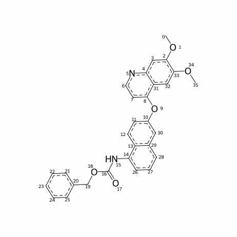 COc1cc2nccc(Oc3ccc4c(NC(=O)OCc5ccccc5)cccc4c3)c2cc1OC